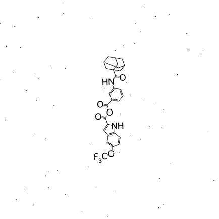 O=C(OC(=O)c1cc2cc(OC(F)(F)F)ccc2[nH]1)c1cccc(NC(=O)C23CC4CC(CC(C4)C2)C3)c1